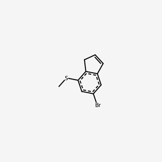 CSc1cc(Br)cc2c1CC=C2